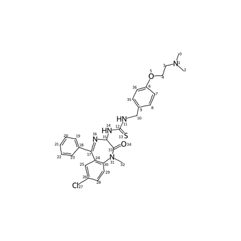 CN(C)CCOc1ccc(CNC(=S)NC2N=C(c3ccccc3)c3cc(Cl)ccc3N(C)C2=O)cc1